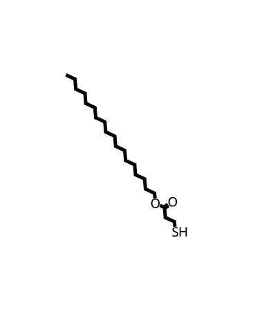 CCCCCCCCCCCCCCCCCCOC(=O)CCS